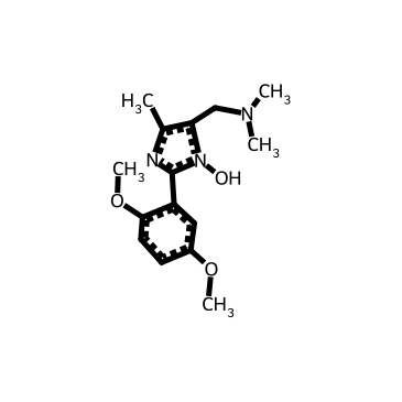 COc1ccc(OC)c(-c2nc(C)c(CN(C)C)n2O)c1